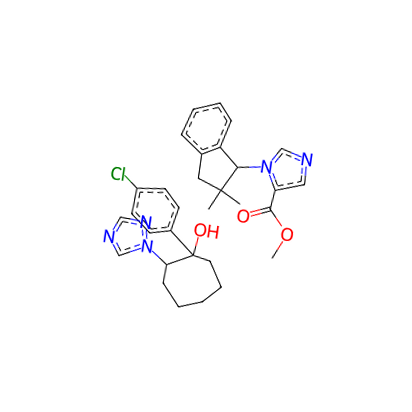 COC(=O)c1cncn1C1c2ccccc2CC1(C)C.OC1(c2ccc(Cl)cc2)CCCCCC1n1cncn1